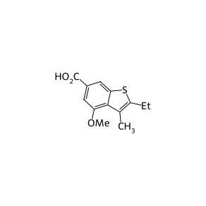 CCc1sc2cc(C(=O)O)cc(OC)c2c1C